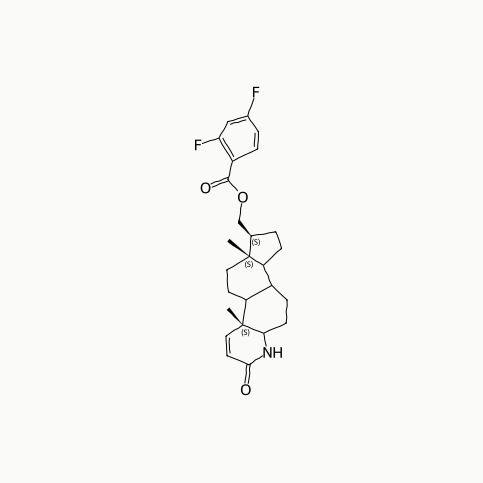 C[C@]12C=CC(=O)NC1CCC1C2CC[C@@]2(C)C1CC[C@@H]2COC(=O)c1ccc(F)cc1F